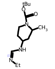 CC/N=C\NC1CCN(C(=O)OC(C)(C)C)C(C)C1